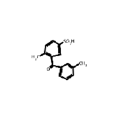 Cc1cccc(C(=O)c2cc(S(=O)(=O)O)ccc2C)c1